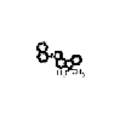 CC1(C)c2ccccc2-c2c1ccc1c2ccn1-c1cccc2ccccc12